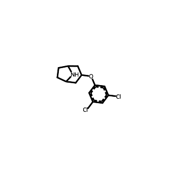 Clc1cc(Cl)cc(OC2CC3CCC(C2)N3)c1